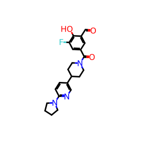 O=Cc1cc(C(=O)N2CCC(c3ccc(N4CCCC4)nc3)CC2)cc(F)c1O